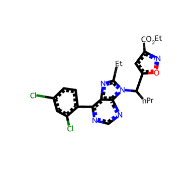 CCCC(c1cc(C(=O)OCC)no1)n1c(CC)nc2c(-c3ccc(Cl)cc3Cl)ncnc21